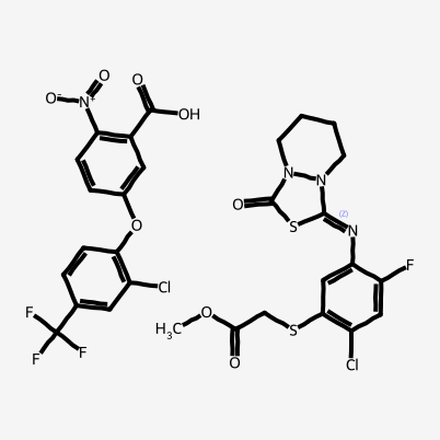 COC(=O)CSc1cc(/N=c2\sc(=O)n3n2CCCC3)c(F)cc1Cl.O=C(O)c1cc(Oc2ccc(C(F)(F)F)cc2Cl)ccc1[N+](=O)[O-]